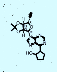 C#C[C@H]1O[C@@H](n2cnc3c(C4CCCC4O)ncnc32)[C@@H]2OC(C)(C)O[C@@H]21